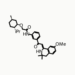 COc1ccc2c(c1)C(=CC(=O)c1cccc(NC(=O)CO[C@@H]3C[C@H](C)CC[C@H]3C(C)C)c1)NC(C)(C)C2